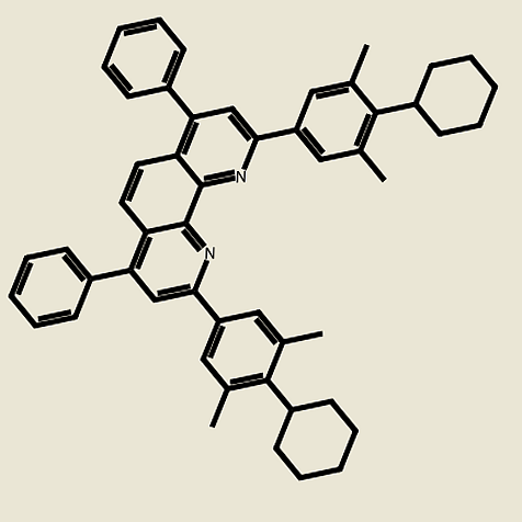 Cc1cc(-c2cc(-c3ccccc3)c3ccc4c(-c5ccccc5)cc(-c5cc(C)c(C6CCCCC6)c(C)c5)nc4c3n2)cc(C)c1C1CCCCC1